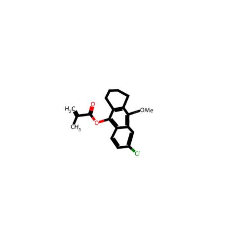 C=C(C)C(=O)Oc1c2c(c(OC)c3cc(Cl)ccc13)CCCC2